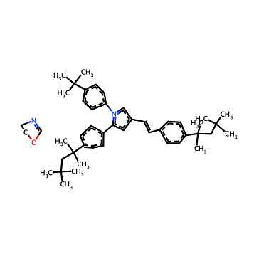 C1=NCCO1.CC(C)(C)CC(C)(C)c1ccc(C=Cc2cc(-c3ccc(C(C)(C)CC(C)(C)C)cc3)n(-c3ccc(C(C)(C)C)cc3)c2)cc1